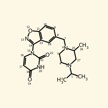 CC(C)N1CCN(Cc2ccc3onc(-n4ccc(=O)[nH]c4=O)c3c2)C(C)C1